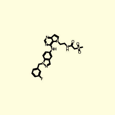 CS(=O)(=O)CC(=O)NCCn1ccc2ncnc(Nc3ccc4c(cnn4Cc4cccc(F)c4)c3)c21